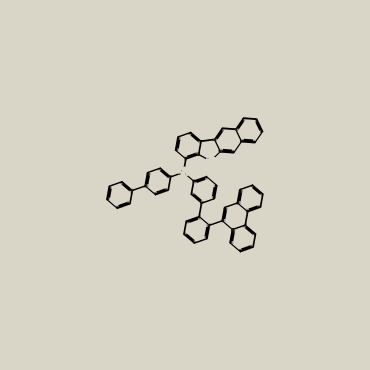 c1ccc(-c2ccc(N(c3cccc(-c4ccccc4-c4cc5ccccc5c5ccccc45)c3)c3cccc4c3sc3cc5ccccc5cc34)cc2)cc1